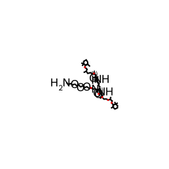 CC1=C(CCC(C)CCCC(C)CC(=O)N[C@@H](CCCCNC(=O)C[C@H](C)CCCC(C)CCC2=C(C)CCCC2(C)C)C(=O)NCCCOCCOCCOCCCN)C(C)(C)CCC1